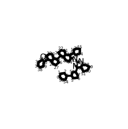 c1ccc(-c2cccc(-c3nc(-n4c5ccccc5c5c6cccc(-c7cccc8c7ccc7oc9ccccc9c78)c6ccc54)nc4ccccc34)c2)cc1